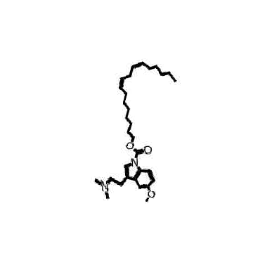 CCCCC/C=C\C/C=C\CCCCCCCOC(=O)n1cc(CCN(C)C)c2cc(OC)ccc21